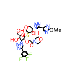 COc1ncc(-c2cn([C@H]3COC[C@@H](S[C@@H]4O[C@H](CO)[C@H](O)[C@H](n5cc(-c6cc(F)c(F)c(F)c6)nn5)[C@H]4OCC(=O)N4CCOCC4)[C@@H]3O)nn2)cn1